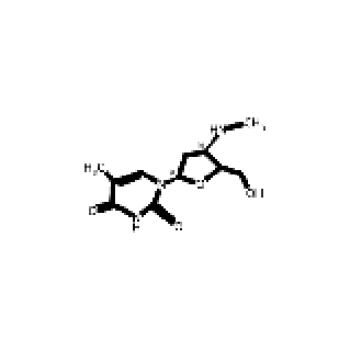 CN[C@@H]1C[C@H](n2cc(C)c(=O)[nH]c2=O)OC1CO